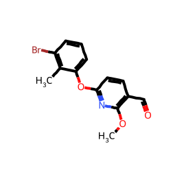 COc1nc(Oc2cccc(Br)c2C)ccc1C=O